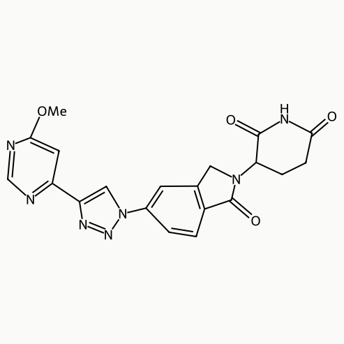 COc1cc(-c2cn(-c3ccc4c(c3)CN(C3CCC(=O)NC3=O)C4=O)nn2)ncn1